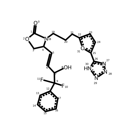 O=C1OCC(C=CC(O)C(F)(F)c2ccccc2)N1CCCc1ccc(-c2nnn[nH]2)o1